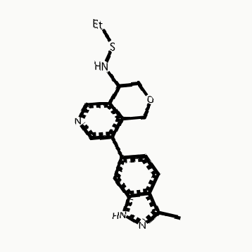 CCSNC1COCc2c(-c3ccc4c(C)n[nH]c4c3)cncc21